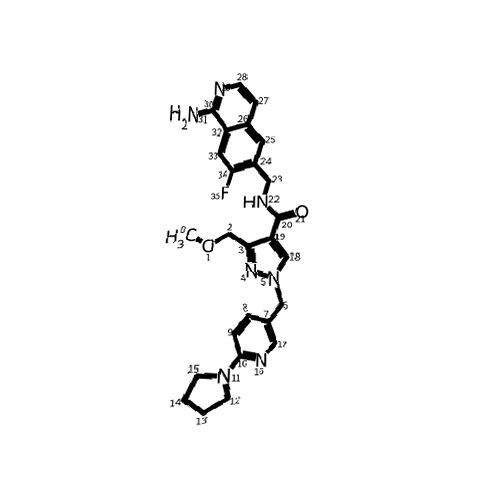 COCc1nn(Cc2ccc(N3CCCC3)nc2)cc1C(=O)NCc1cc2ccnc(N)c2cc1F